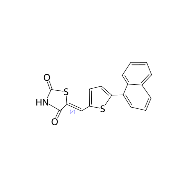 O=C1NC(=O)/C(=C/c2ccc(-c3cccc4ccccc34)s2)S1